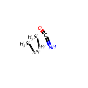 CCC[SiH3].CCC[SiH3].N=C=O